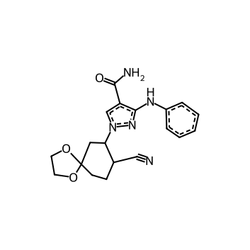 N#CC1CCC2(CC1n1cc(C(N)=O)c(Nc3ccccc3)n1)OCCO2